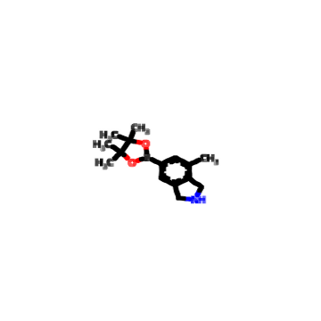 Cc1cc(B2OC(C)(C)C(C)(C)O2)cc2c1CNC2